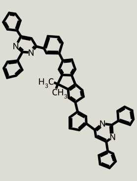 CC1(C)c2cc(-c3cccc(-c4cc(-c5ccccc5)nc(-c5ccccc5)n4)c3)ccc2-c2ccc(-c3cccc(-c4cc(-c5ccccc5)nc(-c5ccccc5)n4)c3)cc21